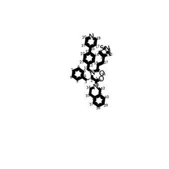 O=C([C@H](Cc1ccccc1)N(Cc1ccc(-c2ccncc2)cc1)C(=O)/C=C/c1csnn1)N1CCc2ccccc2C1